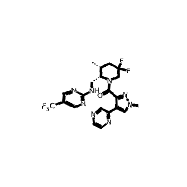 C[C@@H]1CC(F)(F)CN(C(=O)c2nn(C)cc2-c2cnccn2)[C@@H]1CNc1ncc(C(F)(F)F)cn1